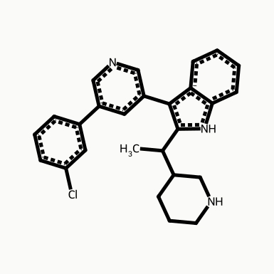 CC(c1[nH]c2ccccc2c1-c1cncc(-c2cccc(Cl)c2)c1)C1CCCNC1